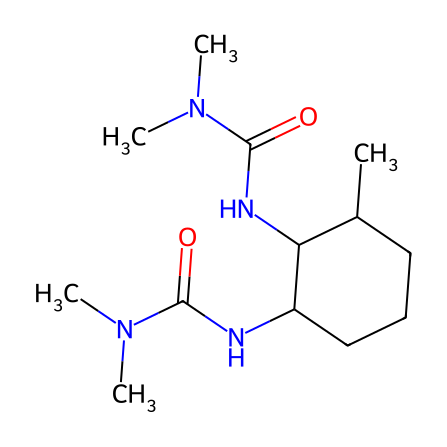 CC1CCCC(NC(=O)N(C)C)C1NC(=O)N(C)C